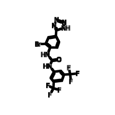 O=C(Nc1cc(C(F)(F)F)cc(C(F)(F)F)c1)Nc1ccc(-c2nnn[nH]2)cc1Br